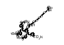 CC(C)(C)OC(=O)NCCOCCOCCOCCOCCOCCNC(=O)COc1cc(CN(Cc2cccc(C(=O)O)n2)Cc2cccc(C(=O)OC(C)(C)C)n2)nc(CN(Cc2cccc(C(=O)OC(C)(C)C)n2)Cc2cccc(C(=O)OC(C)(C)C)n2)c1